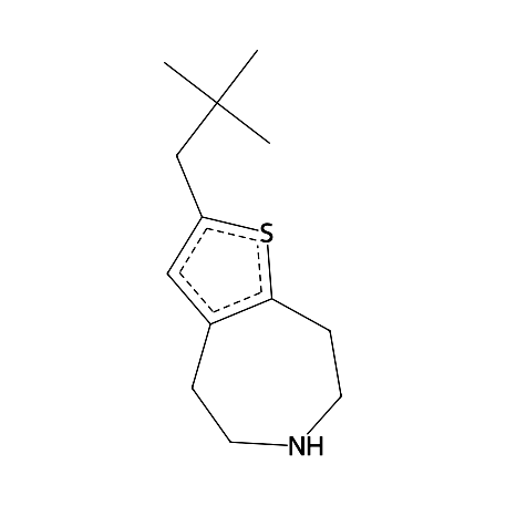 CC(C)(C)Cc1cc2c(s1)CCNCC2